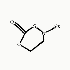 CCN1CCOC(=O)S1